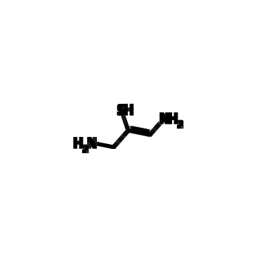 N/C=C(\S)CN